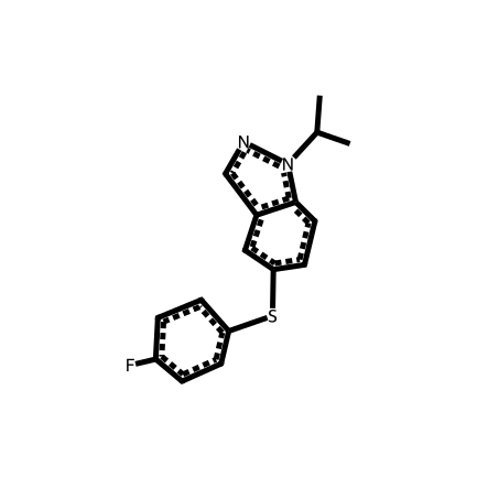 CC(C)n1ncc2cc(Sc3ccc(F)cc3)ccc21